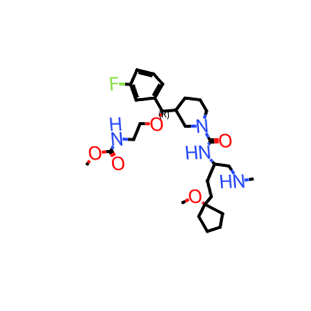 CNCC(CCC1(OC)CCCC1)NC(=O)N1CCCC([C@@H](OCCNC(=O)OC)c2cccc(F)c2)C1